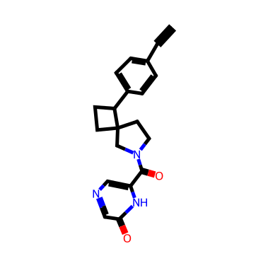 C#Cc1ccc(C2CCC23CCN(C(=O)c2cncc(=O)[nH]2)C3)cc1